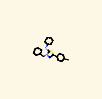 Cc1ccc(-c2cn(Cc3ccccc3)c(=Nc3ccccc3)s2)cc1